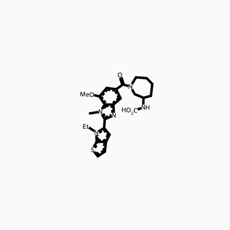 CCn1c(-c2nc3cc(C(=O)N4CCCCC(NC(=O)O)C4)cc(OC)c3n2C)cc2ccsc21